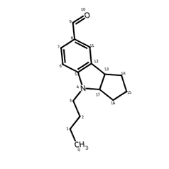 CCCCN1c2ccc(C=O)cc2C2CCCC21